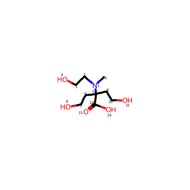 CN(CCO)C(CCO)(CCO)C(=O)O